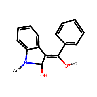 CCO/C(=C1/c2ccccc2N(C(C)=O)C1O)c1ccccc1